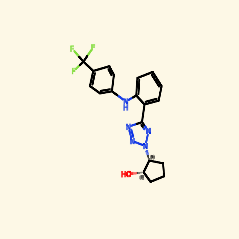 O[C@H]1CCC[C@H]1n1nnc(-c2ccccc2Nc2ccc(C(F)(F)F)cc2)n1